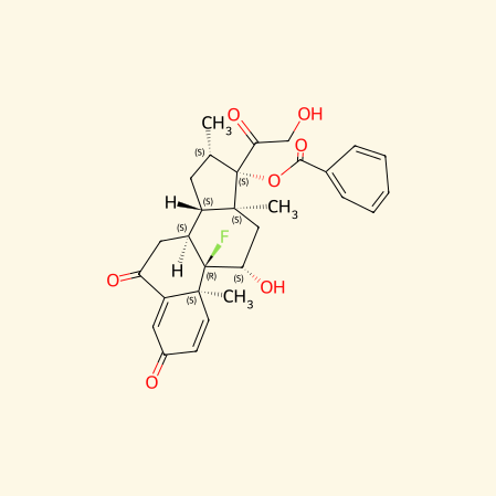 C[C@H]1C[C@H]2[C@@H]3CC(=O)C4=CC(=O)C=C[C@]4(C)[C@@]3(F)[C@@H](O)C[C@]2(C)[C@]1(OC(=O)c1ccccc1)C(=O)CO